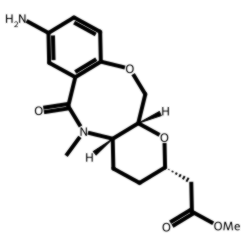 COC(=O)C[C@@H]1CC[C@H]2[C@H](COc3ccc(N)cc3C(=O)N2C)O1